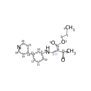 CCCOC(=O)/C(=C\Nc1cccc(-c2ccncc2)c1)C(C)=O